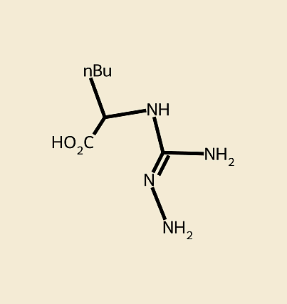 CCCCC(NC(N)=NN)C(=O)O